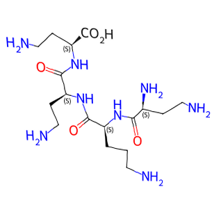 NCCC[C@H](NC(=O)[C@@H](N)CCN)C(=O)N[C@@H](CCN)C(=O)N[C@@H](CCN)C(=O)O